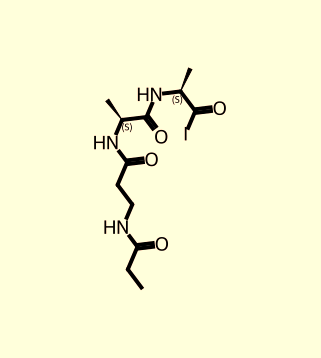 CCC(=O)NCCC(=O)N[C@@H](C)C(=O)N[C@@H](C)C(=O)I